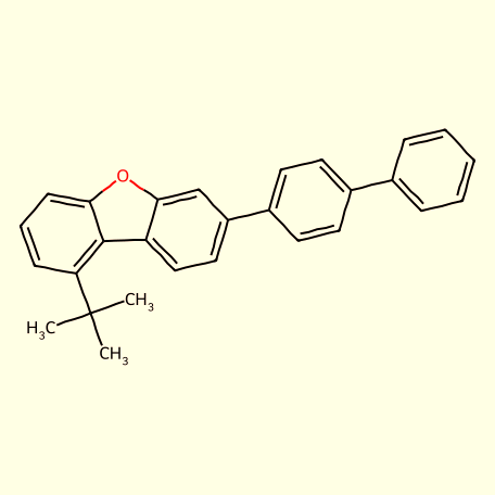 CC(C)(C)c1cccc2oc3cc(-c4ccc(-c5ccccc5)cc4)ccc3c12